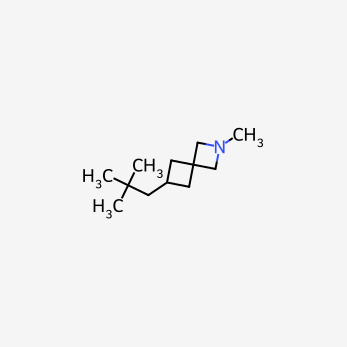 CN1CC2(CC(CC(C)(C)C)C2)C1